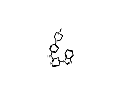 CN1CCN(c2ccc(Nc3nccc(-n4cnc5ccccc54)n3)cc2)CC1